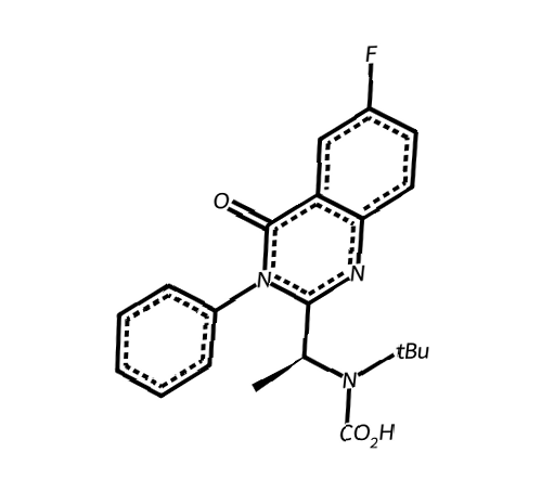 C[C@@H](c1nc2ccc(F)cc2c(=O)n1-c1ccccc1)N(C(=O)O)C(C)(C)C